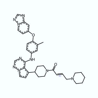 Cc1cc(Nc2ncnn3ccc(C4CCN(C(=O)/C=C/CN5CCCCC5)CC4)c23)ccc1Oc1ccn2ncnc2c1